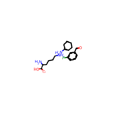 NC1CCCCC1.NCCCCC(N)C(=O)O.O=Cc1cccc(F)c1